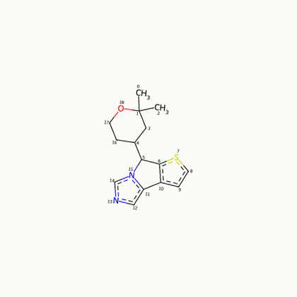 CC1(C)CC(C2c3sccc3-c3cncn32)CCO1